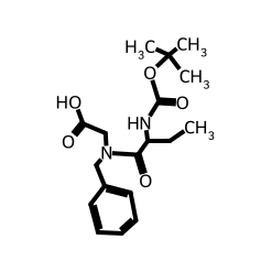 CCC(NC(=O)OC(C)(C)C)C(=O)N(CC(=O)O)Cc1ccccc1